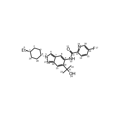 CC[C@H]1CC[C@H](n2cc3cc(NC(=O)c4ccc(F)cn4)c(C(C)(C)O)cc3n2)CC1